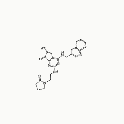 CC(C)N1Cc2c(NCc3cnc4ccccc4c3)nc(NCCN3CCCC3=O)nc2C1=O